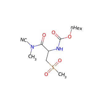 CCCCCCOC(=O)NC(CS(C)(=O)=O)C(=O)N(C)C#N